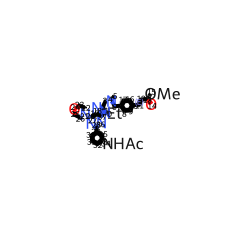 CCn1c(CN(C)Cc2ccc(/C=C/C(=O)OC)cc2)nc2c(N3CCOCC3)nc(-c3cccc(NC(C)=O)c3)nc21